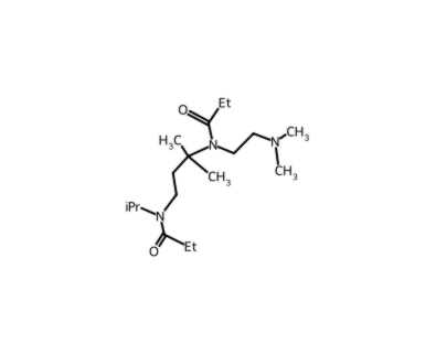 CCC(=O)N(CCC(C)(C)N(CCN(C)C)C(=O)CC)C(C)C